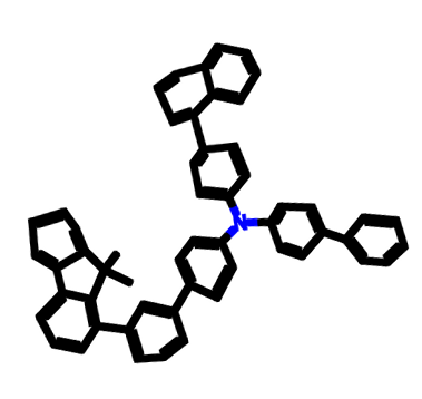 CC1(C)c2ccccc2-c2cccc(-c3cccc(-c4ccc(N(c5ccc(-c6ccccc6)cc5)c5ccc(-c6cccc7ccccc67)cc5)cc4)c3)c21